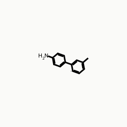 Cc1cc[c]c(-c2ccc(N)cc2)c1